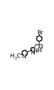 Cc1ccc(-c2cc(CC3(c4ccc(Br)cc4)CCC3)[nH]n2)cn1